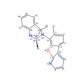 Cc1ccc2c(oc3ncccc32)c1N1[C@@H](C)N2CC1(C)c1ccccc12